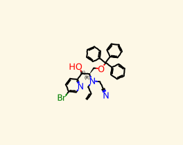 C=CCN(CC#N)[C@H](COC(c1ccccc1)(c1ccccc1)c1ccccc1)[C@H](O)c1ccc(Br)cn1